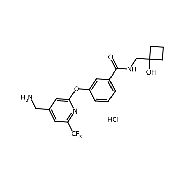 Cl.NCc1cc(Oc2cccc(C(=O)NCC3(O)CCC3)c2)nc(C(F)(F)F)c1